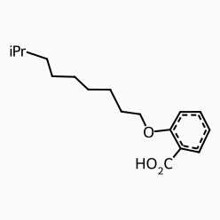 CC(C)CCCCCCCOc1ccccc1C(=O)O